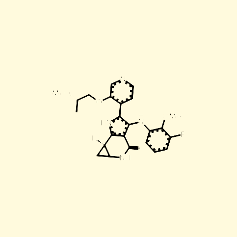 COc1c(F)cccc1Nc1c(-c2ccncc2OC[C@H](C)OC)[nH]c2c1C(=O)NC1C[C@H]21